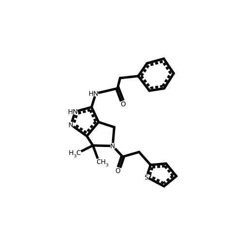 CC1(C)c2n[nH]c(NC(=O)Cc3ccccc3)c2CN1C(=O)Cc1cccs1